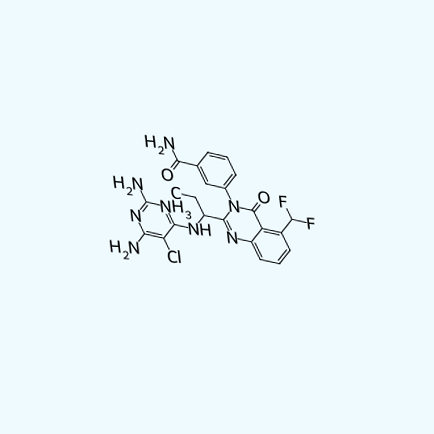 CCC(Nc1nc(N)nc(N)c1Cl)c1nc2cccc(C(F)F)c2c(=O)n1-c1cccc(C(N)=O)c1